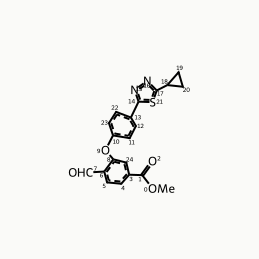 COC(=O)c1ccc(C=O)c(Oc2ccc(-c3nnc(C4CC4)s3)cc2)c1